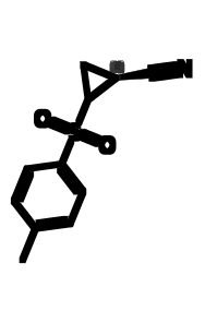 Cc1ccc(S(=O)(=O)C2C[C@H]2C#N)cc1